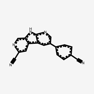 N#Cc1ccc(-c2cnc3[nH]c4cnc(C#N)cc4c3c2)cc1